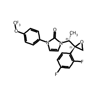 C[C@@H](n1ccn(-c2ccc(OC(F)(F)F)cc2)c1=O)[C@@]1(c2ccc(F)cc2F)CO1